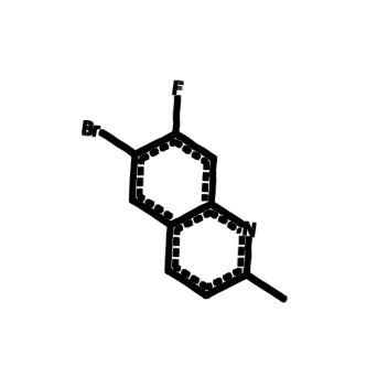 Cc1ccc2cc(Br)c(F)cc2n1